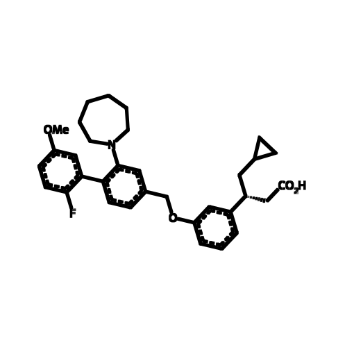 COc1ccc(F)c(-c2ccc(COc3cccc([C@@H](CC(=O)O)CC4CC4)c3)cc2N2CCCCCC2)c1